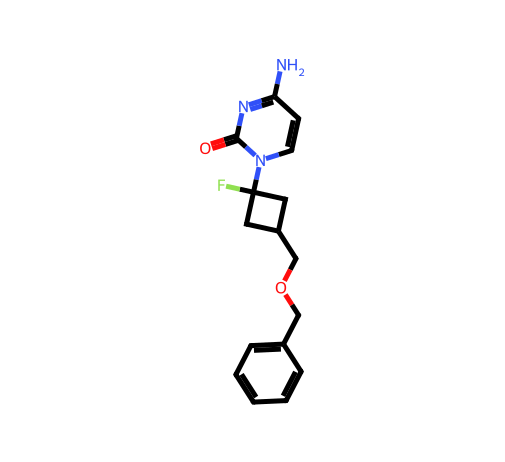 Nc1ccn(C2(F)CC(COCc3ccccc3)C2)c(=O)n1